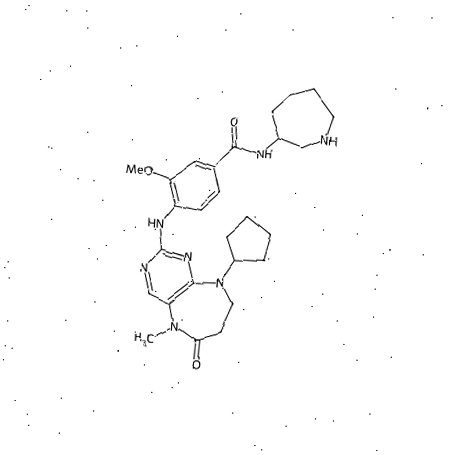 COc1cc(C(=O)NC2CCCCNC2)ccc1Nc1ncc2c(n1)N(C1CCCC1)CCC(=O)N2C